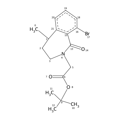 CC1CCN(CC(=O)OC(C)(C)C)C(=O)c2c(Br)cccc21